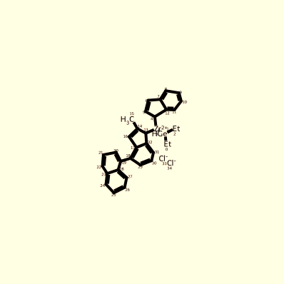 C[CH2][GeH]([CH2]C)[Zr+2]([CH]1C=Cc2ccccc21)[CH]1C(C)=Cc2c(-c3cccc4ccccc34)cccc21.[Cl-].[Cl-]